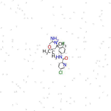 CC1(C)C[C@@](C)(c2cc(NC(=O)c3ccc(Cl)cn3)ccc2F)N=C(N)CO1